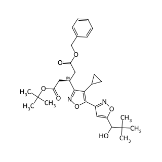 CC(C)(C)OC(=O)C[C@@H](CC(=O)OCc1ccccc1)c1noc(-c2cc(C(O)C(C)(C)C)on2)c1C1CC1